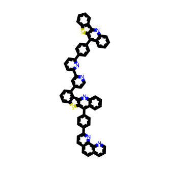 c1cc(-c2ccc(-c3c4ccccc4nc4c3sc3ccccc34)cc2)nc(-c2cc(-c3cccc4sc5c(-c6ccc(-c7ccc8ccc9cccnc9c8n7)cc6)c6ccccc6nc5c34)ccn2)c1